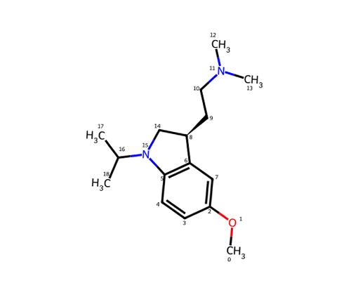 COc1ccc2c(c1)[C@H](CCN(C)C)CN2C(C)C